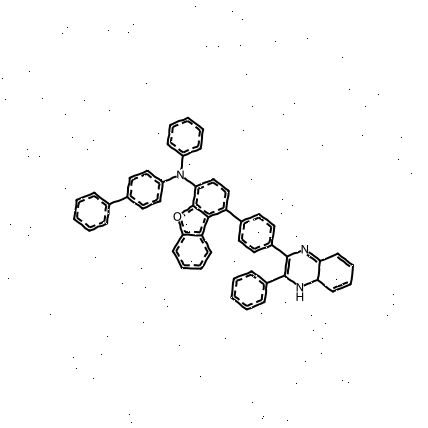 C1=CC2=NC(c3ccc(-c4ccc(N(c5ccccc5)c5ccc(-c6ccccc6)cc5)c5oc6ccccc6c45)cc3)=C(c3ccccc3)NC2C=C1